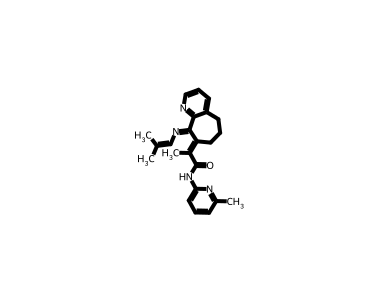 CC(C)=C/N=C1\C(=C(/C)C(=O)Nc2cccc(C)n2)CCCc2cccnc21